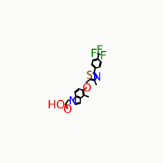 Cc1nc(-c2ccc(C(F)(F)F)cc2)sc1COc1ccc2c(ccn2CC(=O)O)c1C